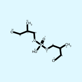 CC(CCl)COP(=O)(O)OCC(C)CCl